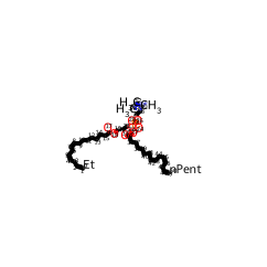 CC/C=C\C/C=C\C/C=C\CCCCCCCC(=O)OC[C@H](COP(=O)([O-])OCC[N+](C)(C)C)OC(=O)CCCCCC/C=C\C/C=C\C/C=C\CCCCC